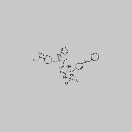 CN(C)c1ccc(CN(C)C(Cc2cscn2)C(=O)NC(Cc2ccc(OCc3ccccc3)cc2)C(=O)NC(C)(C)C)cc1